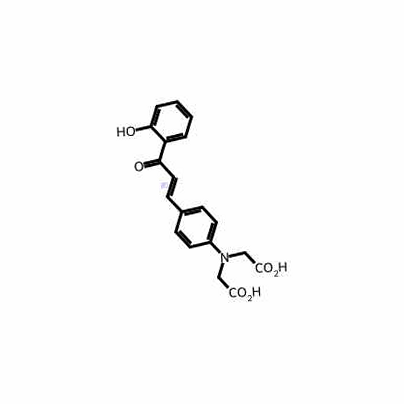 O=C(O)CN(CC(=O)O)c1ccc(/C=C/C(=O)c2ccccc2O)cc1